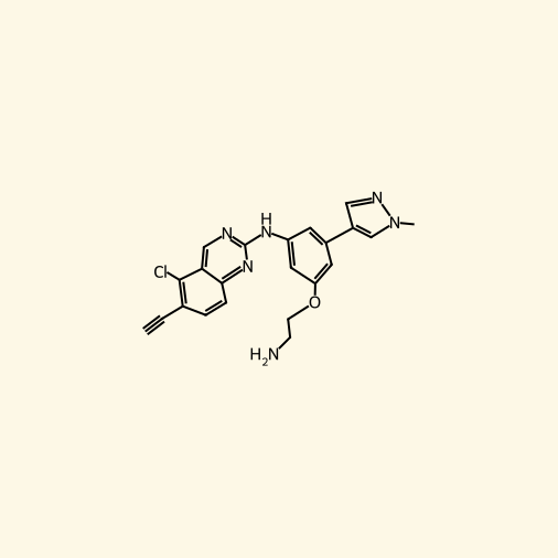 C#Cc1ccc2nc(Nc3cc(OCCN)cc(-c4cnn(C)c4)c3)ncc2c1Cl